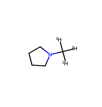 [2H]C([2H])([2H])N1CCCC1